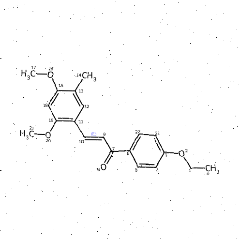 CCOc1ccc(C(=O)/C=C/c2cc(C)c(OC)cc2OC)cc1